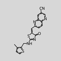 Cc1ccsc1CNC1=NC(=O)/C(=C\c2ccc3ncc(C#N)cc3n2)S1